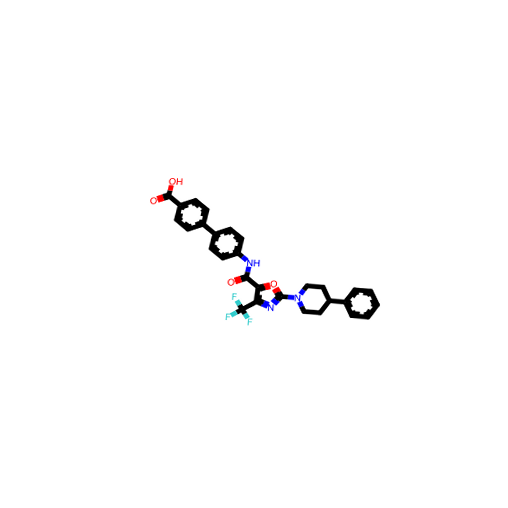 O=C(O)c1ccc(-c2ccc(NC(=O)c3oc(N4CCC(c5ccccc5)CC4)nc3C(F)(F)F)cc2)cc1